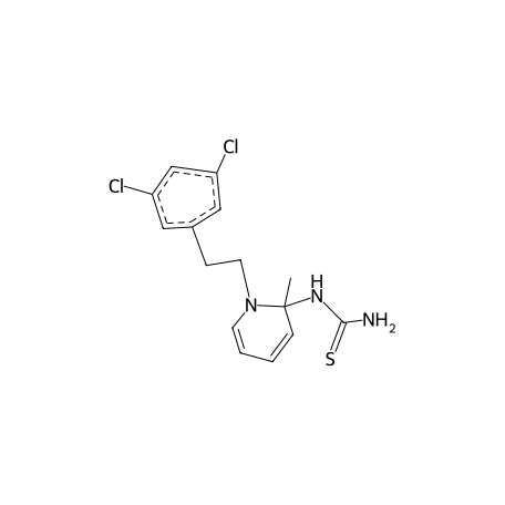 CC1(NC(N)=S)C=CC=CN1CCc1cc(Cl)cc(Cl)c1